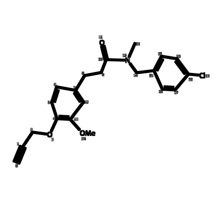 C#CCOc1ccc(CCC(=O)N(C)Cc2ccc(Cl)cc2)cc1OC